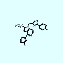 Cc1ccc(-c2nc(Cn3c(C(=O)O)cc4c(-c5cccc(C)c5)nccc43)co2)cc1